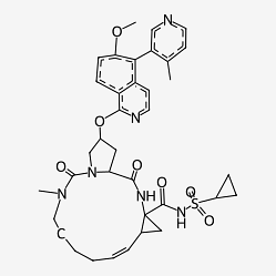 COc1ccc2c(OC3CC4C(=O)NC5(C(=O)NS(=O)(=O)C6CC6)CC5C=CCCCCN(C)C(=O)N4C3)nccc2c1-c1cnccc1C